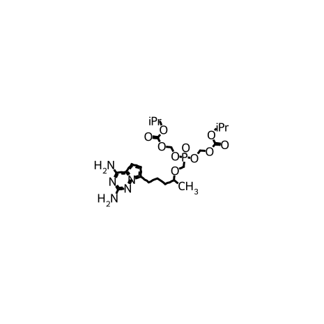 CC(C)OC(=O)OCOP(=O)(COC(C)CCCc1ccc2c(N)nc(N)nn12)OCOC(=O)OC(C)C